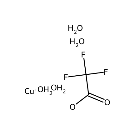 O.O.O.O.O=C([O-])C(F)(F)F.[Cu+]